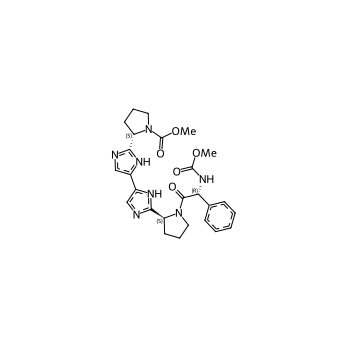 COC(=O)N[C@@H](C(=O)N1CCC[C@H]1c1ncc(-c2cnc([C@@H]3CCCN3C(=O)OC)[nH]2)[nH]1)c1ccccc1